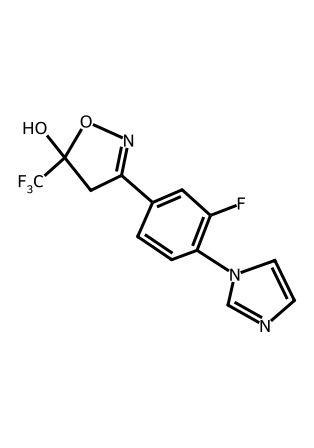 OC1(C(F)(F)F)CC(c2ccc(-n3ccnc3)c(F)c2)=NO1